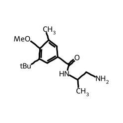 COc1c(C)cc(C(=O)NC(C)CN)cc1C(C)(C)C